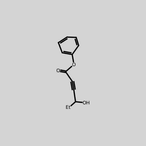 CCC(O)C#CC(=O)Oc1ccccc1